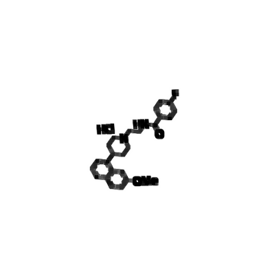 COc1ccc2cccc(C3CCN(CCNC(=O)c4ccc(F)cc4)CC3)c2c1.Cl